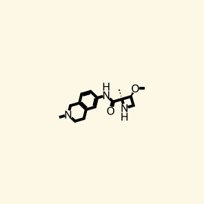 CO[C@H]1CN[C@@]1(C)C(=O)Nc1ccc2c(c1)CCN(C)C2